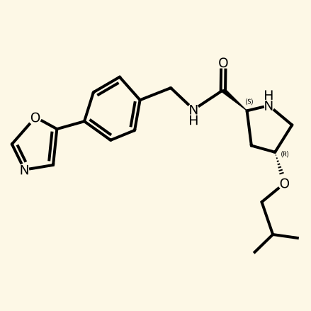 CC(C)CO[C@H]1CN[C@H](C(=O)NCc2ccc(-c3cnco3)cc2)C1